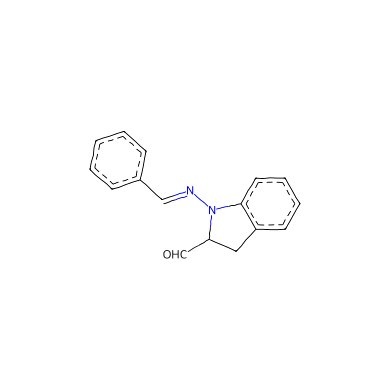 O=CC1Cc2ccccc2N1/N=C/c1ccccc1